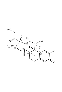 C[C@@H]1C[C@H]2[C@@H]3CCC4=CC(=O)C(F)=C[C@]4(C)[C@@]3(F)[C@@H](O)C[C@]2(C)[C@@]1(O)C(=O)CO